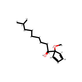 COC1(C(=O)CCCCCCC(C)C)C=CC=C1